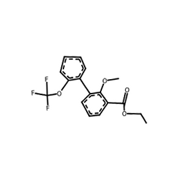 CCOC(=O)c1cccc(-c2ccccc2OC(F)(F)F)c1OC